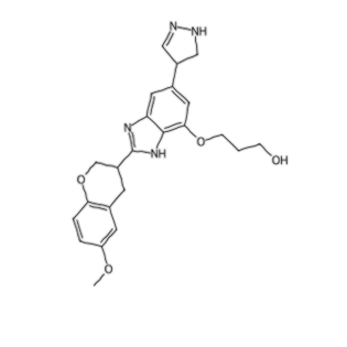 COc1ccc2c(c1)CC(c1nc3cc(C4C=NNC4)cc(OCCCO)c3[nH]1)CO2